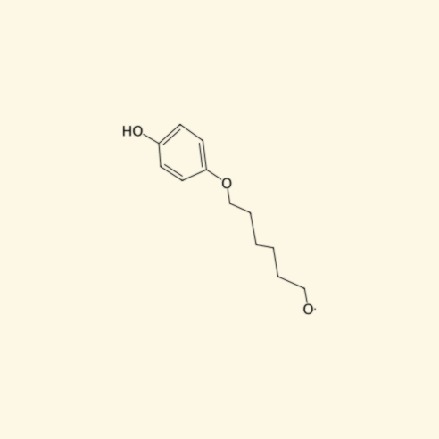 [O]CCCCCCOc1ccc(O)cc1